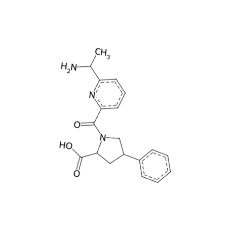 CC(N)c1cccc(C(=O)N2CC(c3ccccc3)CC2C(=O)O)n1